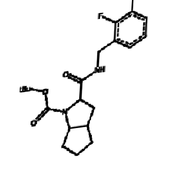 CC(C)(C)OC(=O)N1C(C(=O)NCc2cccc(Cl)c2F)CC2CCCC21